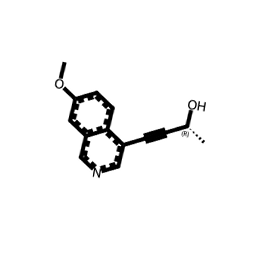 COc1ccc2c(C#C[C@@H](C)O)cncc2c1